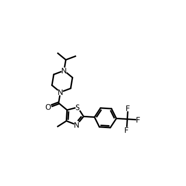 Cc1nc(-c2ccc(C(F)(F)F)cc2)sc1C(=O)N1CCN(C(C)C)CC1